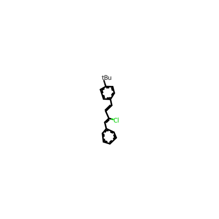 CC(C)(C)c1ccc(C=CC(Cl)=Cc2ccccc2)cc1